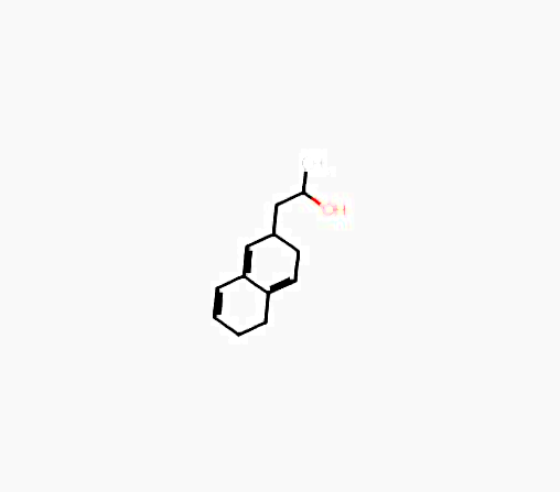 CC(O)CC1C=C2C=CCCC2=CC1